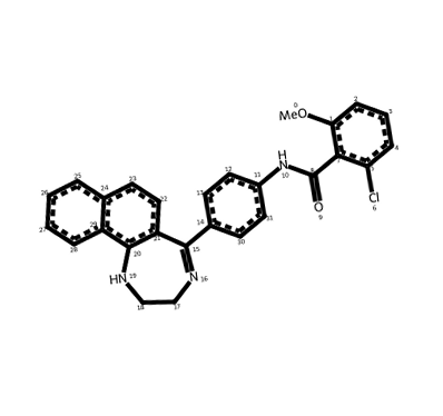 COc1cccc(Cl)c1C(=O)Nc1ccc(C2=NCCNc3c2ccc2ccccc32)cc1